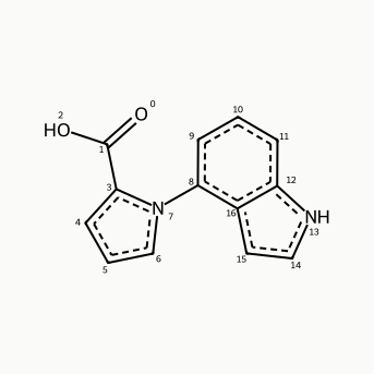 O=C(O)c1cccn1-c1cccc2[nH]ccc12